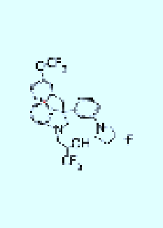 O[C@H](CN1CC(Cc2cccc(OC(F)(F)F)c2)(c2cccc(N3CC[C@@H](F)C3)c2)c2ccccc21)C(F)(F)F